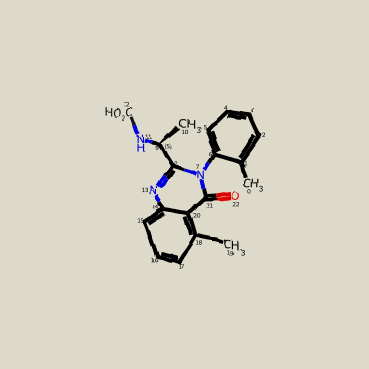 Cc1ccccc1-n1c([C@H](C)NC(=O)O)nc2cccc(C)c2c1=O